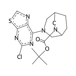 CC(C)(C)OC(=O)N1CC2CCC1CN(c1nc(Cl)nc3scnc13)C2